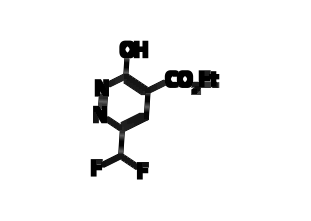 CCOC(=O)c1cc(C(F)F)nnc1O